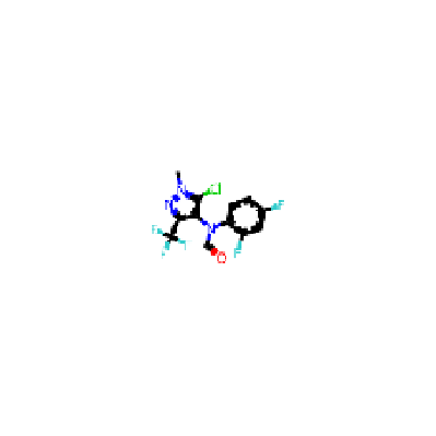 Cn1nc(C(F)(F)F)c(N(C=O)c2ccc(F)cc2F)c1Cl